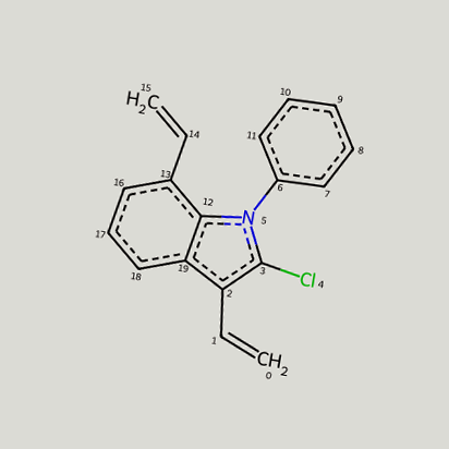 C=Cc1c(Cl)n(-c2ccccc2)c2c(C=C)cccc12